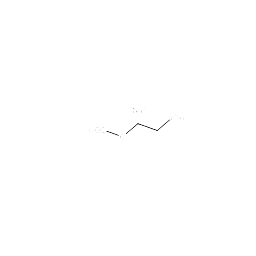 CCCCCCOC(=O)[O-].[Na+]